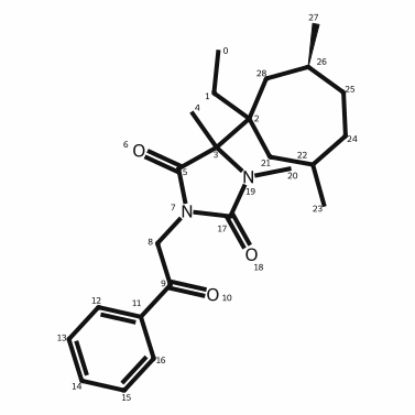 CCC1(C2(C)C(=O)N(CC(=O)c3ccccc3)C(=O)N2C)CC(C)CC[C@H](C)C1